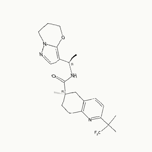 C[C@@H](NC(=O)[C@]1(C)CCc2nc(C(C)(C)C(F)(F)F)ccc2C1)c1cnn2c1OCCC2